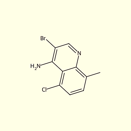 Cc1ccc(Cl)c2c(N)c(Br)cnc12